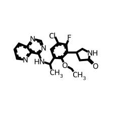 CCOc1c(C(C)Nc2ncnc3cccnc23)cc(Cl)c(F)c1C1CNC(=O)C1